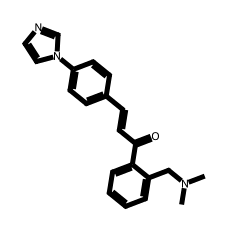 CN(C)Cc1ccccc1C(=O)C=Cc1ccc(-n2ccnc2)cc1